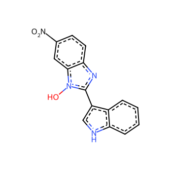 O=[N+]([O-])c1ccc2nc(-c3c[nH]c4ccccc34)n(O)c2c1